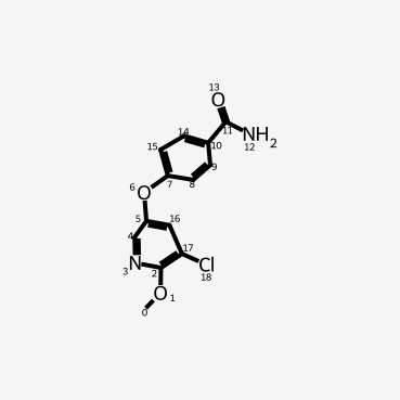 COc1ncc(Oc2ccc(C(N)=O)cc2)cc1Cl